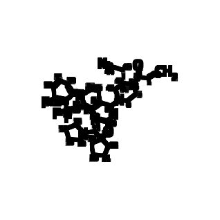 C=CC(=O)N1CCN(c2nc(OC3(CN4CCCC4)CCCC3)nc3c2CCN(c2cccc(F)c2C(F)(F)F)C3)C[C@@H]1CC#N